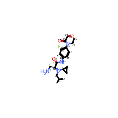 CC(C)CN(C1CC1)[C@@H](CN)C(=O)Nc1ccc(N2CCOCC2=O)c(F)c1